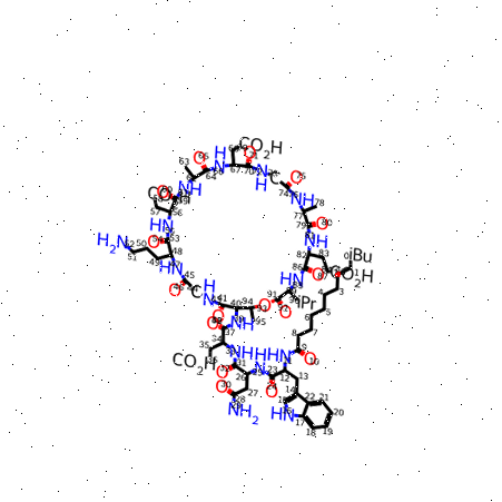 CCC(C)CCCCCCCCC(=O)NC(Cc1c[nH]c2ccccc12)C(=O)NC(CC(N)=O)C(=O)NC(CC(=O)O)C(=O)NC1C(=O)NCC(=O)NC(CCCN)C(=O)NC(CC(=O)O)C(=O)NC(C)C(=O)NC(CC(=O)O)C(=O)NCC(=O)NC(C)C(=O)NC(CCC(=O)O)C(=O)NC(C(C)C)C(=O)OC1C